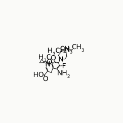 CCNC1CCN(c2c(F)c(N)c3c(c2OC)[N+]([O-])(C2CC2)C=C(C(=O)O)C3)CC1(C)C